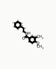 COc1ccc(C(=O)NCCc2ccccc2)cc1C